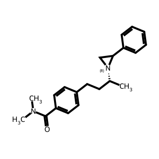 CC(CCc1ccc(C(=O)N(C)C)cc1)[N@]1CC1c1ccccc1